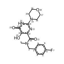 CN(Cc1ccc(F)cc1)C(=O)c1nc(N2CCOCC2)[nH]c(=O)c1O